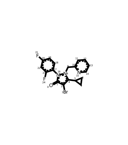 O=c1c(Br)c(C2CC2)n(Cc2ccccn2)n1-c1ccc(F)cc1F